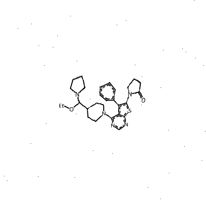 CCOC(C1CCN(c2ncnc3sc(N4CCCC4=O)c(-c4ccccc4)c23)CC1)N1CCCC1